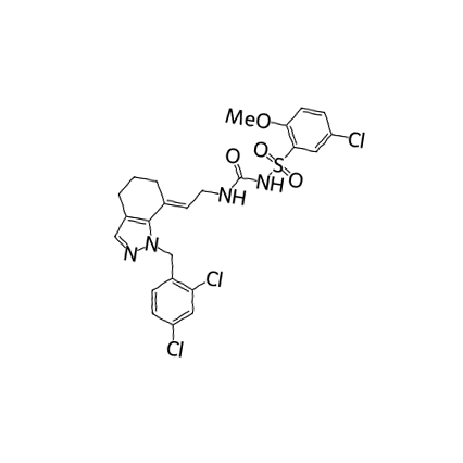 COc1ccc(Cl)cc1S(=O)(=O)NC(=O)NC/C=C1\CCCc2cnn(Cc3ccc(Cl)cc3Cl)c21